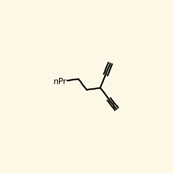 C#CC(C#C)CCCCC